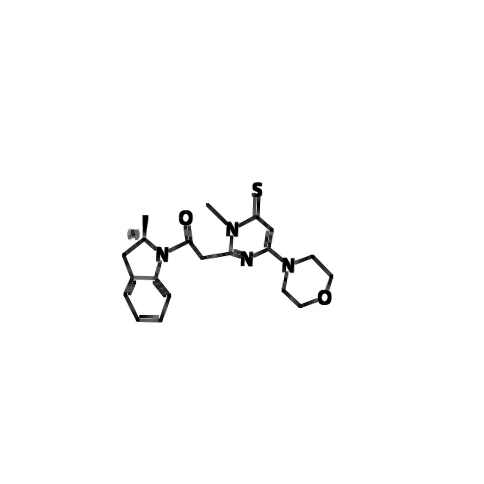 C[C@@H]1Cc2ccccc2N1C(=O)Cc1nc(N2CCOCC2)cc(=S)n1C